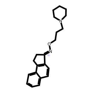 c1ccc2c3c(ccc2c1)/C(=N/OCCCN1CCCCC1)CC3